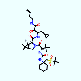 C=CCCNC(=O)C(=O)C(CC1CC1)NC(=O)[C@@H]1[C@@H]2C(CN1C(=O)[C@@H](NC(=O)NC1(CS(=O)(=O)C(C)(C)C)CCCCC1)C(C)(C)C)C2(C)C